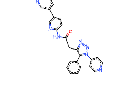 O=C(Cc1nnn(-c2ccncc2)c1-c1ccccc1)Nc1ccc(-c2cccnc2)cn1